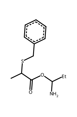 CCC(N)OC(=O)C(C)SCc1ccccc1